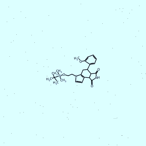 COc1ccccc1C1Cc2c(ccn2CCO[Si](C)(C)C(C)(C)C)C2C(=O)NC(=O)C12